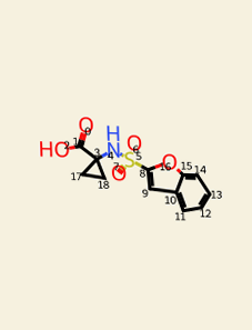 O=C(O)C1(NS(=O)(=O)c2cc3ccccc3o2)CC1